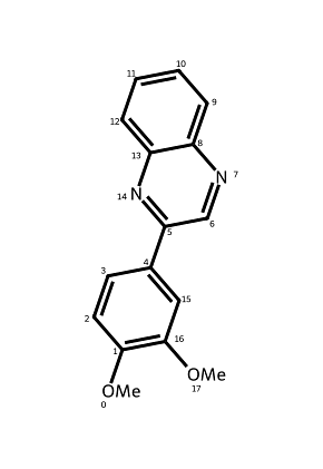 COc1ccc(-c2cnc3ccccc3n2)cc1OC